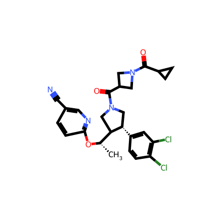 C[C@H](Oc1ccc(C#N)cn1)C1CN(C(=O)C2CN(C(=O)C3CC3)C2)C[C@@H]1c1ccc(Cl)c(Cl)c1